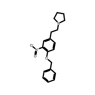 O=[N+]([O-])c1cc(CCN2CCCC2)ccc1OCc1ccccc1